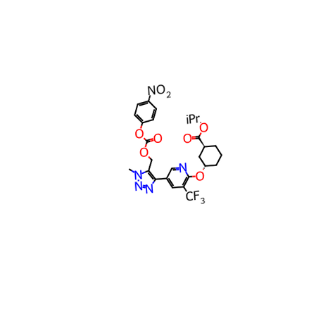 CC(C)OC(=O)[C@H]1CCC[C@H](Oc2ncc(-c3nnn(C)c3COC(=O)Oc3ccc([N+](=O)[O-])cc3)cc2C(F)(F)F)C1